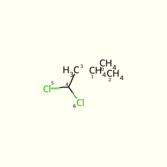 C.C.C.CC(Cl)Cl